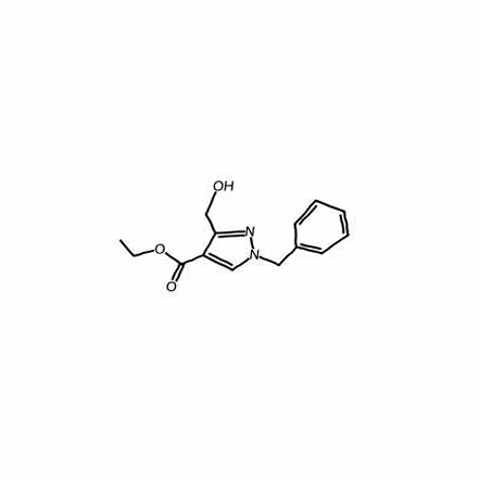 CCOC(=O)c1cn(Cc2ccccc2)nc1CO